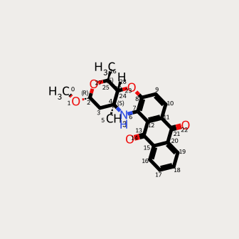 CO[C@H]1C[C@]2(C)Nc3c(ccc4c3C(=O)c3ccccc3C4=O)O[C@H]2[C@H](C)O1